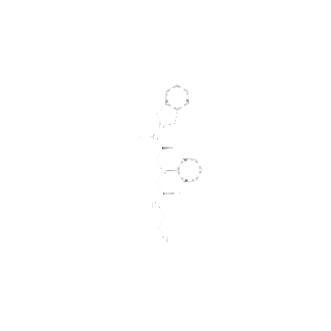 CN(C(=O)CN(CC(=O)NCCN)c1ccccc1)N1Cc2ccccc2C1